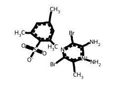 Cc1c(Br)nc(Br)c(N)[n+]1N.Cc1cc(C)c(S(=O)(=O)[O-])c(C)c1